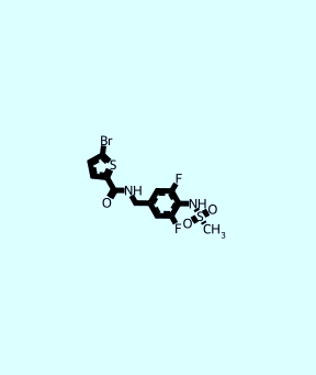 CS(=O)(=O)Nc1c(F)cc(CNC(=O)c2ccc(Br)s2)cc1F